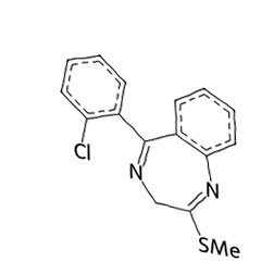 CSC1=Nc2ccccc2C(c2ccccc2Cl)=NC1